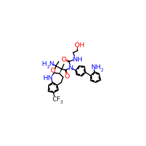 CC(C)(N)C(C)(C(=O)N(C(=O)NCCO)c1ccc(-c2ccccc2N)cc1)[C@H]1CCc2cc(C(F)(F)F)ccc2NC1=O